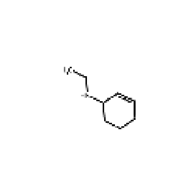 CCNC1C=CCCC1